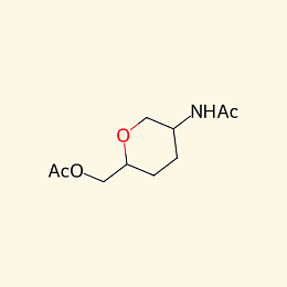 CC(=O)NC1CCC(COC(C)=O)OC1